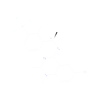 Cc1c([C@@H](C)/N=c2\nc(C)n(C)c3ccc(Br)cc23)cccc1C(F)(F)F